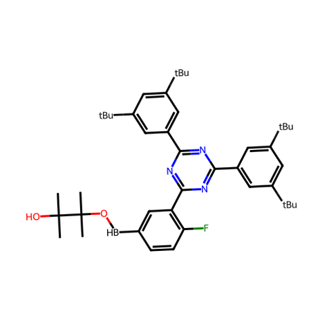 CC(C)(C)c1cc(-c2nc(-c3cc(C(C)(C)C)cc(C(C)(C)C)c3)nc(-c3cc(BOC(C)(C)C(C)(C)O)ccc3F)n2)cc(C(C)(C)C)c1